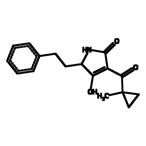 CC1(C(=O)C2=C(O)C(CCc3ccccc3)NC2=O)CC1